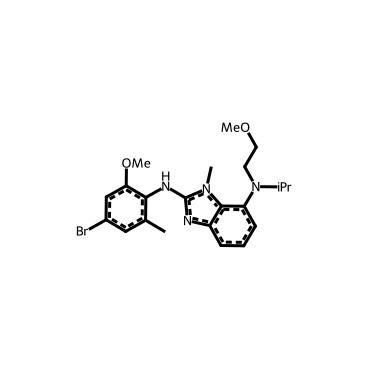 COCCN(c1cccc2nc(Nc3c(C)cc(Br)cc3OC)n(C)c12)C(C)C